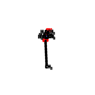 CC#CC#CC#CC#CC#CC#CC#CC#CC(=O)OC1CC(C)(C)N(OCC(C)(C)O)C(C)(C)C1